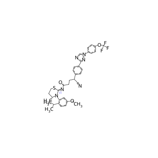 COc1ccc(C(C)C)c(N2/C(=N/C(=O)CCC(C#N)c3ccc(-c4ncn(-c5ccc(OC(F)(F)F)cc5)n4)cc3)SCCC2C)c1